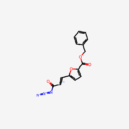 [N-]=[N+]=NC(=O)/C=C/c1ccc(C(=O)OCc2ccccc2)o1